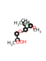 CCC[C@H](CC(=O)O)c1cccc(OCc2ccc(-c3cc(OC)ccc3F)c(C=CC(C)(C)C)c2)c1